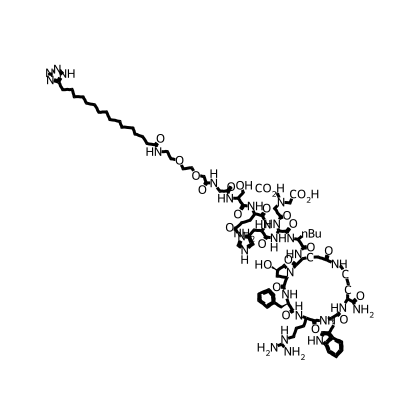 CCCCC(NC(=O)C(NC(=O)CN(CC(=O)O)CC(=O)O)NC(=O)C(Cc1c[nH]cn1)NC(=O)C(CCC(N)=O)NC(=O)C(CO)NC(=O)CNC(=O)COCCOCCNC(=O)CCCCCCCCCCCCCCCc1nnn[nH]1)C(=O)NC1CCC(=O)NCCCCC(C(N)=O)NC(=O)[C@H](Cc2c[nH]c3ccccc23)NC(=O)C(CCCNC(N)N)NC(=O)[C@@H](Cc2ccccc2)NC(=O)C2C[C@@H](O)CN2C1=O